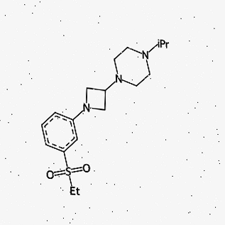 CCS(=O)(=O)c1cccc(N2CC(N3CCN(C(C)C)CC3)C2)c1